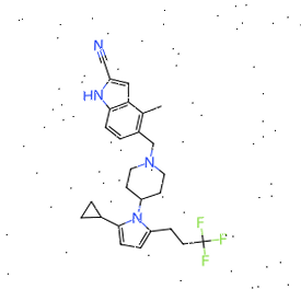 Cc1c(CN2CCC(n3c(CCC(F)(F)F)ccc3C3CC3)CC2)ccc2[nH]c(C#N)cc12